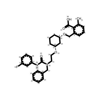 Cc1cccc(CO[C@H]2CCC[C@@H](OCCN(Cc3ccccc3)C(=O)Nc3cccc(F)c3)C2)c1C(=O)O